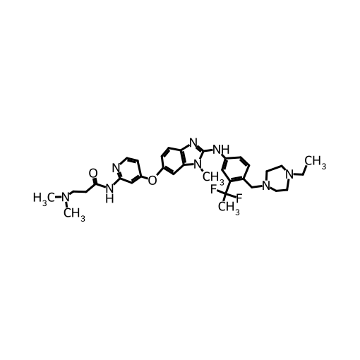 CCN1CCN(Cc2ccc(Nc3nc4ccc(Oc5ccnc(NC(=O)CCN(C)C)c5)cc4n3C)cc2C(C)(F)F)CC1